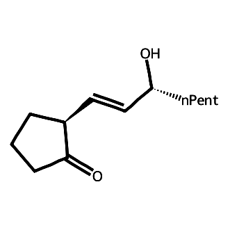 CCCCC[C@@H](O)/C=C/[C@@H]1CCCC1=O